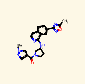 Cc1nc(-c2ccc3ccnc(N[C@H]4CCN(C(=O)c5cnn(C(C)(C)C)c5)C4)c3c2)no1